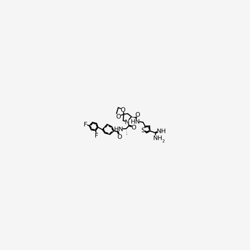 C[C@H](NC(=O)c1ccc(-c2ccc(F)cc2F)cc1)C(=O)N1CC2(C[C@H]1C(=O)NCc1cc(C(=N)N)cs1)OCCO2